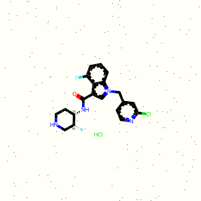 Cl.O=C(N[C@H]1CCNC[C@H]1F)c1cn(Cc2ccnc(Cl)c2)c2cccc(F)c12